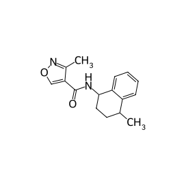 Cc1nocc1C(=O)NC1CCC(C)c2ccccc21